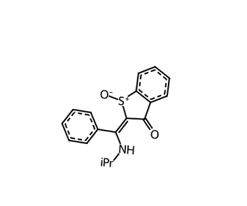 CC(C)N/C(=C1\C(=O)c2ccccc2[S+]1[O-])c1ccccc1